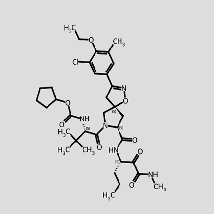 CCC[C@H](NC(=O)[C@@H]1C[C@]2(CC(c3cc(C)c(OCC)c(Cl)c3)=NO2)CN1C(=O)[C@@H](NC(=O)OC1CCCC1)C(C)(C)C)C(=O)C(=O)NC